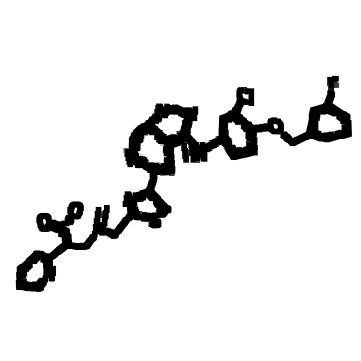 O=S(=O)=C(CNCc1nc(-c2cc3c(Nc4ccc(OCc5cccc(F)c5)c(Cl)c4)ncnc3cn2)cs1)c1ccccn1